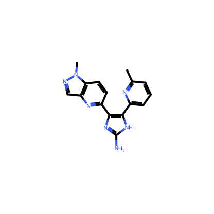 Cc1cccc(-c2[nH]c(N)nc2-c2ccc3c(cnn3C)n2)n1